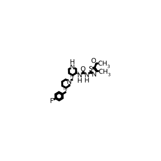 CC(=O)c1sc(NC(=O)N[C@H]2CNCC[C@H]2CN2CCC[C@@H](Cc3ccc(F)cc3)C2)nc1C